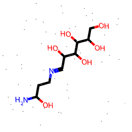 NC(O)CC/N=C/C(O)C(O)C(O)C(O)CO